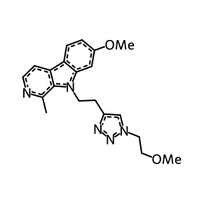 COCCn1cc(CCn2c3cc(OC)ccc3c3ccnc(C)c32)nn1